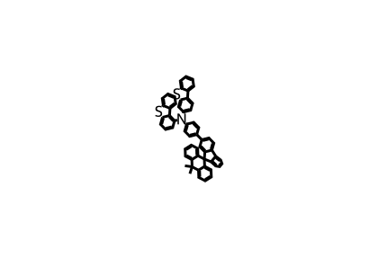 CC1(C)c2ccccc2C2(c3ccccc3-c3ccc(-c4ccc(N(c5ccc6c(c5)sc5ccccc56)c5cccc6sc7ccccc7c56)cc4)cc32)c2ccccc21